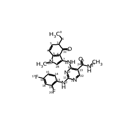 CCC1C=Cc2c(c(Nc3nc(Nc4ccc(F)cc4F)ncc3C(=O)NC)cn2C)C1=O